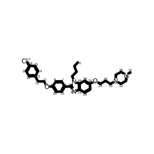 CCCCn1c(-c2ccc(OCCc3ccc(Cl)cc3)cc2)nc2ccc(OCCCN3CCN(C)CC3)cc21